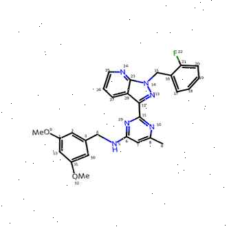 COc1cc(CNc2cc(C)nc(-c3nn(Cc4ccccc4F)c4ncccc34)n2)cc(OC)c1